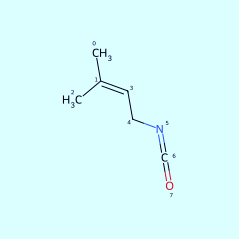 CC(C)=CCN=C=O